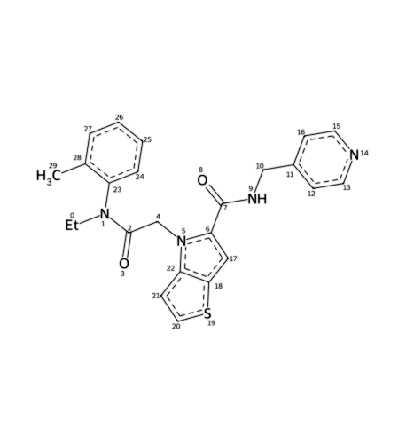 CCN(C(=O)Cn1c(C(=O)NCc2ccncc2)cc2sccc21)c1ccccc1C